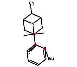 CC(C)(C)OC(=O)N1CC2C(C#N)C(C1)N2C(C)(C)c1ccccc1